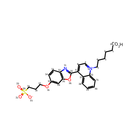 O=C(O)CCCCC[n+]1ccc(-c2nc3ccc(OCCCS(=O)(=O)[O-])cc3o2)c2ccccc21